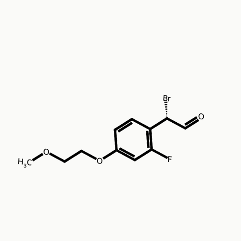 COCCOc1ccc([C@H](Br)C=O)c(F)c1